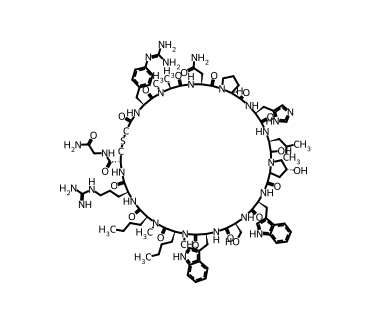 CCCC[C@H]1C(=O)N(C)[C@@H](CCCC)C(=O)N[C@@H](CCCNC(=N)N)C(=O)N[C@H](C(=O)NCC(N)=O)CSCC(=O)N[C@@H](Cc2ccc(N=C(N)N)cc2)C(=O)N(C)[C@@H](C)C(=O)N[C@@H](CC(N)=O)C(=O)N2CCC[C@H]2C(=O)N[C@@H](Cc2cnc[nH]2)C(=O)N[C@@H](CC(C)C)C(O)N2C[C@H](O)CC2C(=O)N[C@@H](Cc2c[nH]c3ccccc23)C(=O)N[C@@H](CO)C(=O)N[C@@H](Cc2c[nH]c3ccccc23)C(=O)N1C